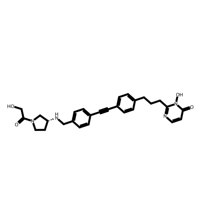 O=C(CO)N1CC[C@@H](NCc2ccc(C#Cc3ccc(CCCc4nccc(=O)n4O)cc3)cc2)C1